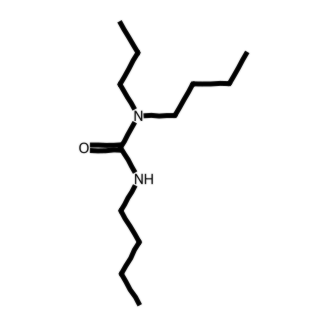 CCCCNC(=O)N(CCC)CCCC